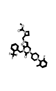 COC(=O)N1CCC1Cn1cc2c(n1)N(Cc1ccccc1C(F)(F)F)C(=O)N(C1CCN(c3c(C)cccc3F)CC1)C2